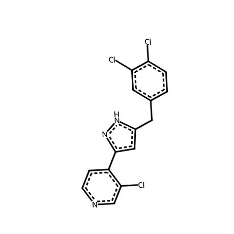 Clc1ccc(Cc2cc(-c3ccncc3Cl)n[nH]2)cc1Cl